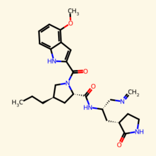 C=NC[C@H](C[C@@H]1CCNC1=O)NC(=O)[C@@H]1C[C@@H](CCC)CN1C(=O)c1cc2c(OC)cccc2[nH]1